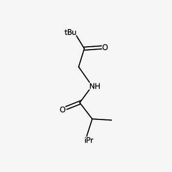 CC(C)C(C)C(=O)NCC(=O)C(C)(C)C